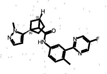 Cc1ccc(NC(=O)C2[C@H]3CC[C@]2(c2ccnn2C)C3)cc1-c1ncc(F)cn1